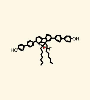 CCCCCCCC(F)(F)C1(CC(F)(F)CCCCCC)c2cc(-c3ccc(-c4ccc(O)cc4)cc3)ccc2-c2ccc(-c3ccc(-c4ccc(O)cc4)cc3)cc21